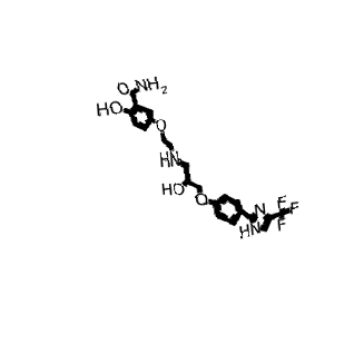 NC(=O)c1cc(OCCNCC(O)COc2ccc(-c3nc(C(F)(F)F)c[nH]3)cc2)ccc1O